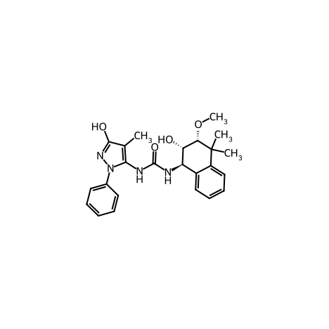 CO[C@H]1[C@@H](O)[C@H](NC(=O)Nc2c(C)c(O)nn2-c2ccccc2)c2ccccc2C1(C)C